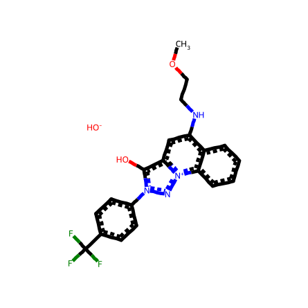 COCCNc1cc2c(O)n(-c3ccc(C(F)(F)F)cc3)n[n+]2c2ccccc12.[OH-]